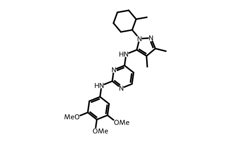 COc1cc(Nc2nccc(Nc3c(C)c(C)nn3C3CCCCC3C)n2)cc(OC)c1OC